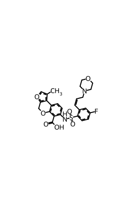 Cc1coc2c1-c1ccc(NS(=O)(=O)c3ccc(F)cc3/C=C\CN3CCOCC3)c(C(=O)O)c1OC2